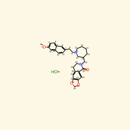 COc1ccc2cc(CCN3CCCCC(CN4CCc5cc6c(cc5C4=O)OCO6)C3)ccc2c1.Cl